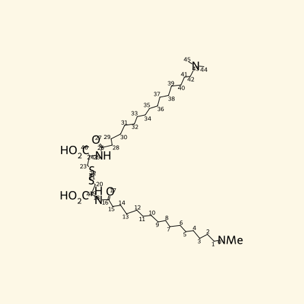 CNCCCCCCCCCCCCCCCC(=O)NC(CSSCC(NC(=O)CCCCCCCCCCCCCCCN(C)C)C(=O)O)C(=O)O